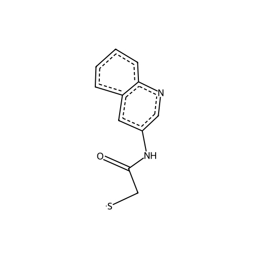 O=C(C[S])Nc1cnc2ccccc2c1